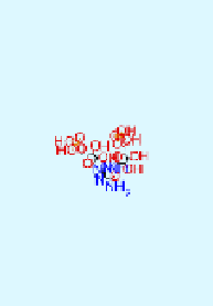 C=[N+](NC1O[C@H](COP(=O)(O)O)[C@@H](O)[C@H]1O)c1c(C(N)=O)ncn1C1O[C@H](COP(=O)(O)O)[C@@H](O)[C@H]1O